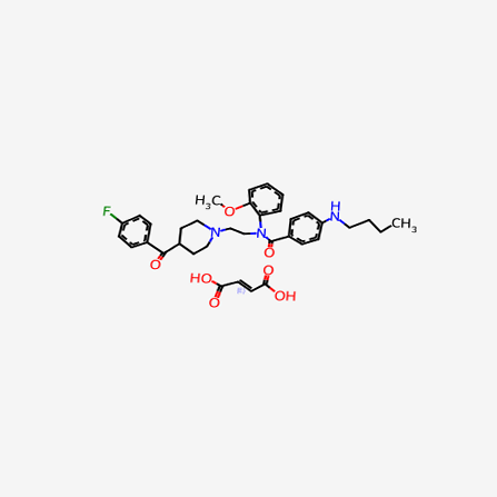 CCCCNc1ccc(C(=O)N(CCN2CCC(C(=O)c3ccc(F)cc3)CC2)c2ccccc2OC)cc1.O=C(O)/C=C/C(=O)O